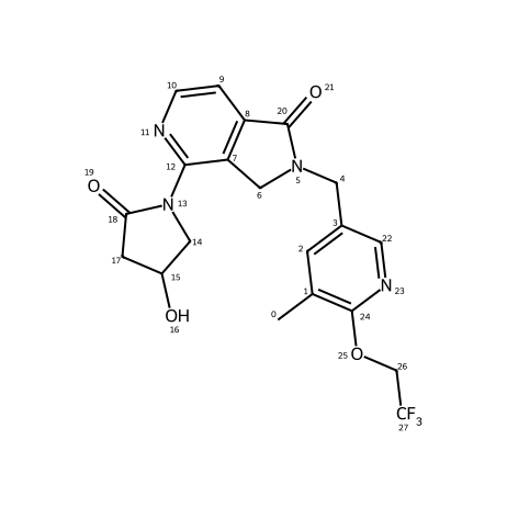 Cc1cc(CN2Cc3c(ccnc3N3CC(O)CC3=O)C2=O)cnc1OCC(F)(F)F